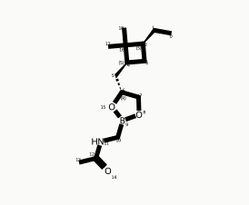 CC[C@H]1C[C@@H](C[C@@H]2COB(CNC(C)=O)O2)C1(C)C